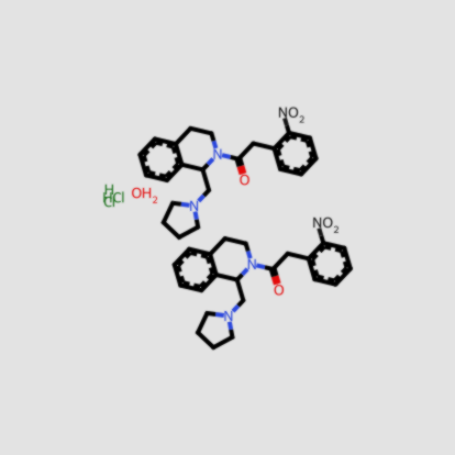 Cl.Cl.O.O=C(Cc1ccccc1[N+](=O)[O-])N1CCc2ccccc2C1CN1CCCC1.O=C(Cc1ccccc1[N+](=O)[O-])N1CCc2ccccc2C1CN1CCCC1